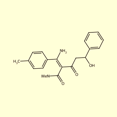 CNC(=O)C(C(=O)CC(O)c1ccccc1)=C(N)c1ccc(C)cc1